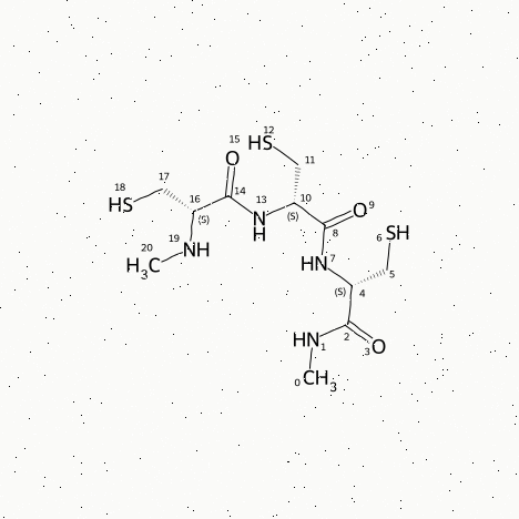 CNC(=O)[C@@H](CS)NC(=O)[C@@H](CS)NC(=O)[C@@H](CS)NC